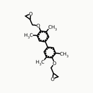 Cc1cc(-c2cc(C)c(OCC3CO3)c(C)c2)cc(C)c1OCC1CO1